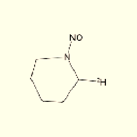 [2H]C1CCCCN1N=O